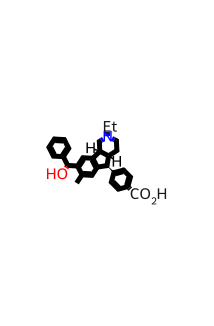 CCN1CC[C@H]2[C@H](c3ccc(C(=O)O)cc3)c3cc(C)c(C(O)c4ccccc4)cc3[C@H]2C1